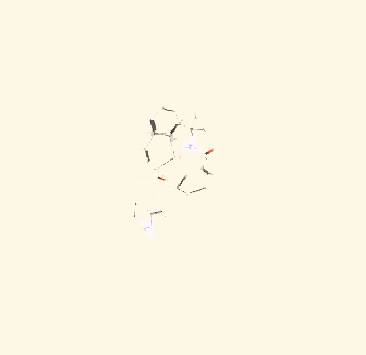 Cc1ccc(OCC2CCN2C)cc1C(=O)NC1(c2cccc3ccc(C(=O)O)cc23)CC1